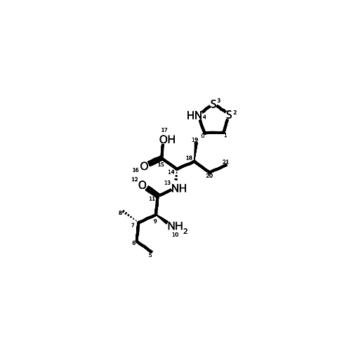 C1CSSN1.CC[C@H](C)[C@H](N)C(=O)N[C@H](C(=O)O)[C@@H](C)CC